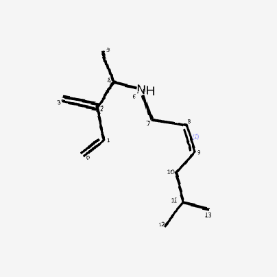 C=CC(=C)C(C)NC/C=C\CC(C)C